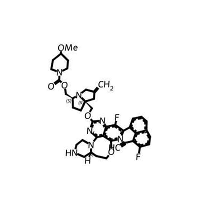 C#Cc1c(F)ccc2cccc(-c3nc4c5c(nc(OC[C@@]67CC[C@@H](COC(=O)N8CCC(OC)CC8)N6CC(=C)C7)nc5c3F)N3CCNC[C@H]3CCO4)c12